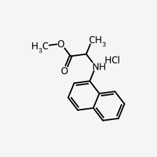 COC(=O)C(C)Nc1cccc2ccccc12.Cl